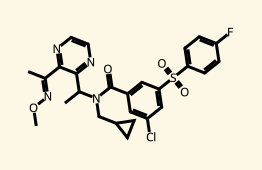 CON=C(C)c1nccnc1C(C)N(CC1CC1)C(=O)c1cc(Cl)cc(S(=O)(=O)c2ccc(F)cc2)c1